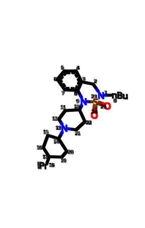 CCCCN1Cc2ccccc2N(C2CCN(C3CCC(C(C)C)CC3)CC2)S1(=O)=O